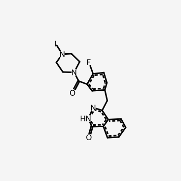 O=C(c1cc(Cc2n[nH]c(=O)c3ccccc23)ccc1F)N1CCN(I)CC1